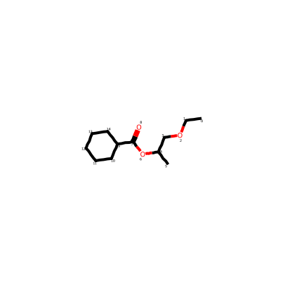 CCOCC(C)OC(=O)C1CCCCC1